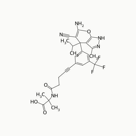 Cc1n[nH]c2c1C(c1cc(C#CCCC(=O)NC(C)(C)C(=O)O)cc(C(F)(F)F)c1)(C(C)C)C(C#N)=C(N)O2